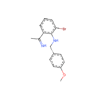 COc1ccc(CNc2c(Br)cccc2C(C)=N)cc1